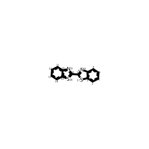 c1ccc2c(c1)[N+]=C(c1nc3ccccc3s1)S2